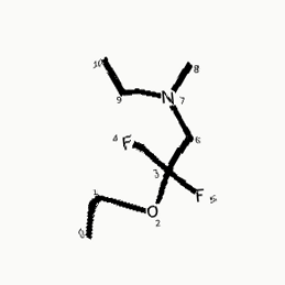 CCOC(F)(F)CN(C)CC